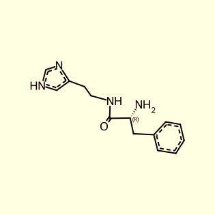 N[C@H](Cc1ccccc1)C(=O)NCCc1c[nH]cn1